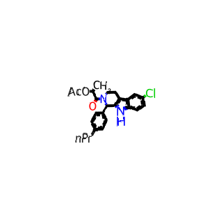 CCCc1ccc(C2c3[nH]c4ccc(Cl)cc4c3CCN2C(=O)C(C)OC(C)=O)cc1